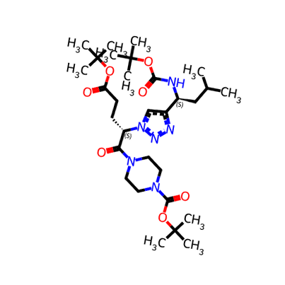 CC(C)C[C@H](NC(=O)OC(C)(C)C)c1cn([C@@H](CCC(=O)OC(C)(C)C)C(=O)N2CCN(C(=O)OC(C)(C)C)CC2)nn1